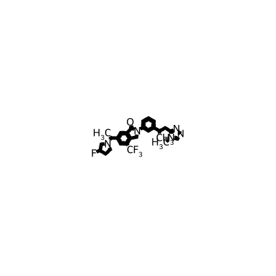 CC(Cc1nncn1C)c1cccc(N2Cc3c(cc(C(C)N4CCC(F)C4)cc3C(F)(F)F)C2=O)c1